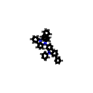 c1ccc(-c2ccc3c4ccc(N(c5ccccc5)c5cccc6c7ccccc7n(-c7ccc8ccccc8c7)c56)cc4n(-c4ccccc4)c3c2)cc1